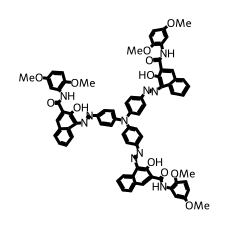 COc1ccc(OC)c(NC(=O)c2cc3ccccc3c(N=Nc3ccc(N(c4ccc(N=Nc5c(O)c(C(=O)Nc6cc(OC)ccc6OC)cc6ccccc56)cc4)c4ccc(N=Nc5c(O)c(C(=O)Nc6cc(OC)ccc6OC)cc6ccccc56)cc4)cc3)c2O)c1